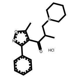 Cc1onc(-c2ccccc2)c1C(=O)C(C)CN1CCCCC1.Cl